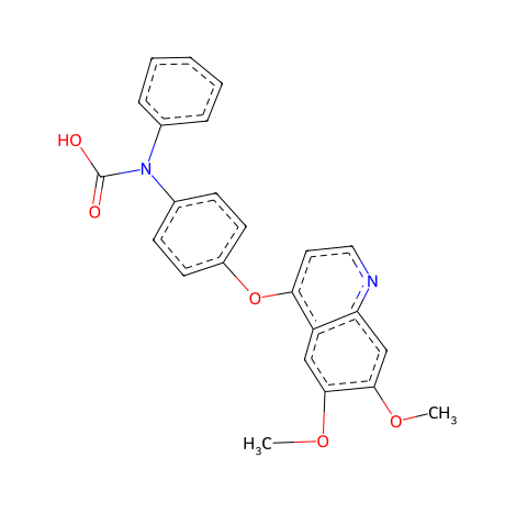 COc1cc2nccc(Oc3ccc(N(C(=O)O)c4ccccc4)cc3)c2cc1OC